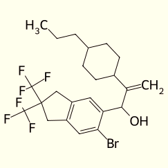 C=C(C1CCC(CCC)CC1)C(O)c1cc2c(cc1Br)CC(C(F)(F)F)(C(F)(F)F)C2